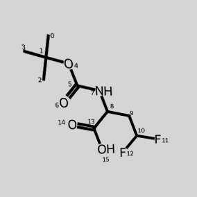 CC(C)(C)OC(=O)NC(CC(F)F)C(=O)O